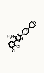 Nc1nc(N2CCN(C3CCOCC3)CC2)nnc1-c1cccc(Cl)c1Cl